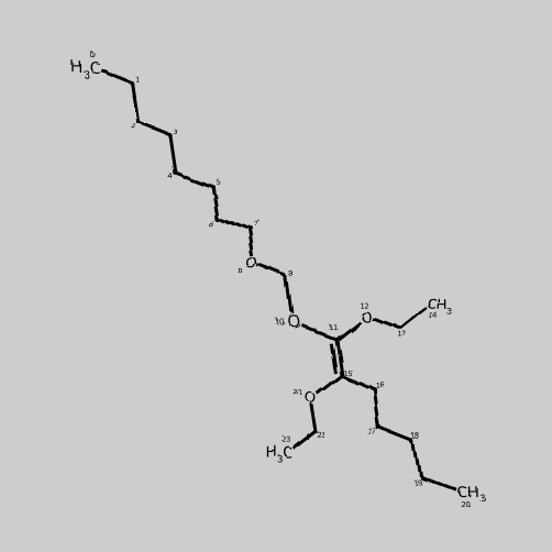 CCCCCCCCOCOC(OCC)=C(CCCCC)OCC